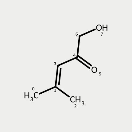 CC(C)=CC(=O)[CH]O